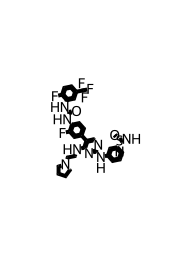 N=[SH](=O)c1cccc(Nc2ncc(-c3ccc(NC(=O)Nc4cc(C(F)(F)F)ccc4F)c(F)c3)c(NCCN3CCCC3)n2)c1